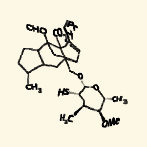 CO[C@H]1[C@@H](C)[C@H](S)[C@H](OCC23CC4C(C)CCC4C4(C=O)CC2C=C(C(C)C)C43C(=O)O)O[C@@H]1C